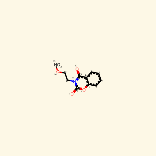 O=c1oc2ccccc2c(=O)n1CCO[N+](=O)[O-]